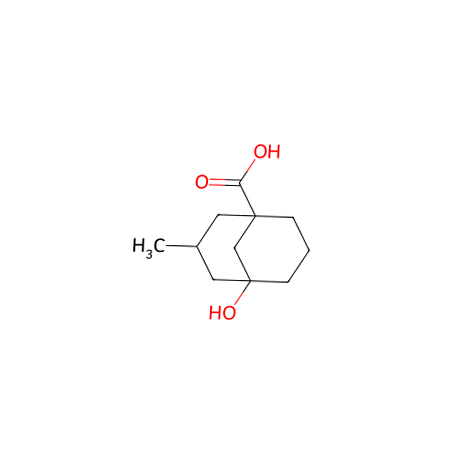 CC1CC2(O)CCCC(C(=O)O)(C1)C2